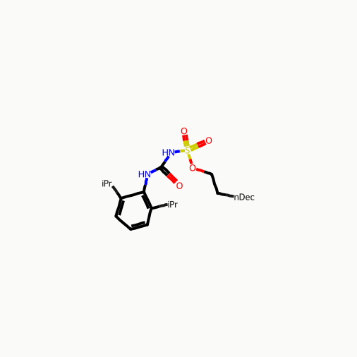 CCCCCCCCCCCCOS(=O)(=O)NC(=O)Nc1c(C(C)C)cccc1C(C)C